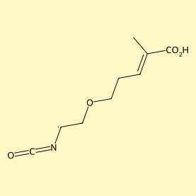 CC(=CCCOC[CH]N=C=O)C(=O)O